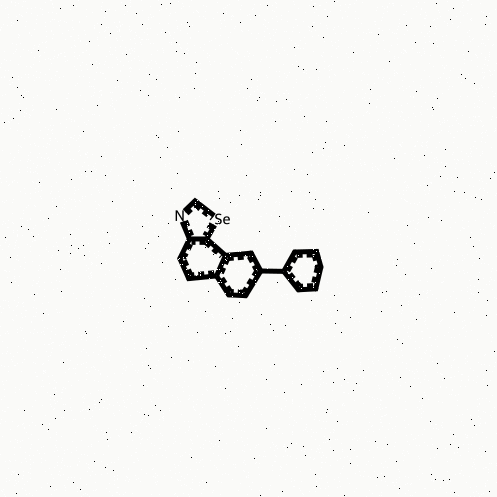 c1ccc(-c2ccc3ccc4nc[se]c4c3c2)cc1